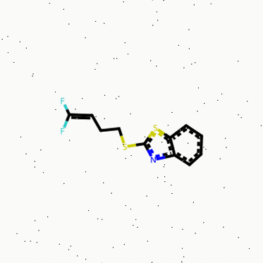 FC(F)=CCCSc1nc2ccccc2s1